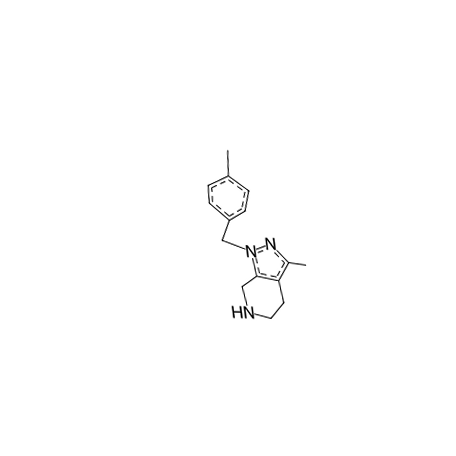 Cc1ccc(Cn2nc(C)c3c2CNCC3)cc1